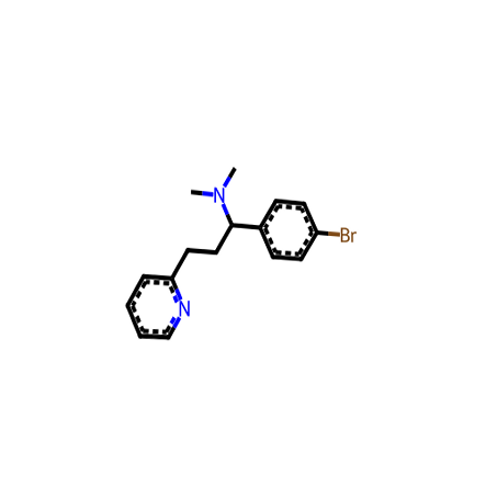 CN(C)C(CCc1ccccn1)c1ccc(Br)cc1